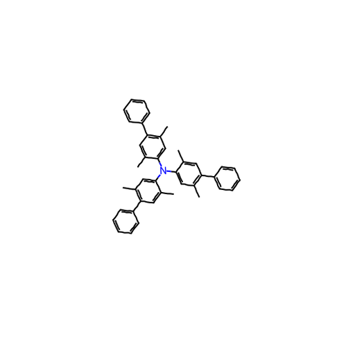 Cc1cc(N(c2cc(C)c(-c3ccccc3)cc2C)c2cc(C)c(-c3ccccc3)cc2C)c(C)cc1-c1ccccc1